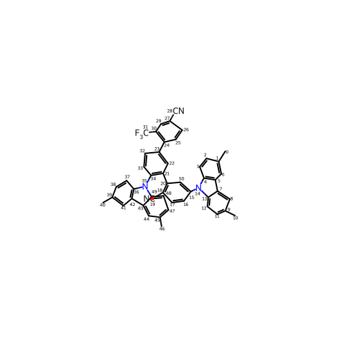 Cc1ccc2c(c1)c1cc(C)ccc1n2-c1ccc(C#N)c(-c2cc(-c3ccc(C#N)cc3C(F)(F)F)ccc2-n2c3ccc(C)cc3c3cc(C)ccc32)c1